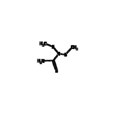 CSN(SC)C(N)=S